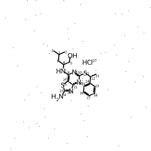 CC(C)CC(CO)Nc1nc(SC(C)c2ccccc2)nc2nc(N)sc12.Cl